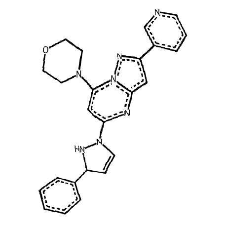 C1=CN(c2cc(N3CCOCC3)n3nc(-c4cccnc4)cc3n2)NC1c1ccccc1